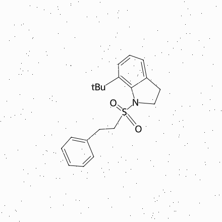 CC(C)(C)c1cccc2c1N(S(=O)(=O)CCc1ccccc1)CC2